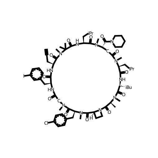 C#CC[C@@H]1NC(=O)[C@H](Cc2cccc(I)c2)NC(=O)CN(C)C(=O)[C@H](Cc2ccc(Cl)cc2)N(C)C(=O)[C@@H]2CCN2C(=O)[C@H](C)N(C)C(=O)[C@H]([C@@H](C)CC)NC(=O)[C@H](CC(C)C)N(C)C(=O)C[C@@H](C(=O)N2CCCCC2)N(C)C(=O)[C@H](CC(C)C)NC(=O)C(C)(C)N(C)C1=O